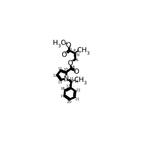 COC(=O)[C@@H](C)COC(=O)c1cccn1[C@H](C)c1ccccc1